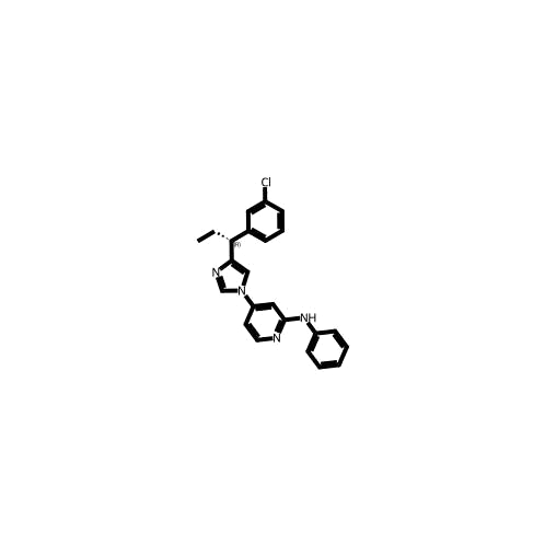 CC[C@H](c1cccc(Cl)c1)c1cn(-c2ccnc(Nc3ccccc3)c2)cn1